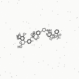 COc1cc(C(CC(=O)O)c2ccc(C)c(CN3C[C@@H](C)Oc4cc(C5CCC(Nc6ncc(Cl)c(Nc7ccccc7S(=O)(=O)C(C)C)n6)C5)ccc4S3(=O)=O)c2)cc2nnn(C)c12